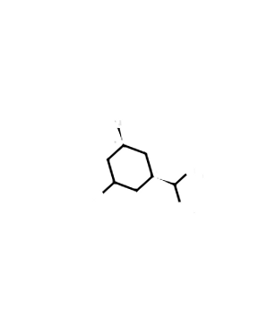 CC1C[C@@H](N)C[C@@H](C(C)C)C1